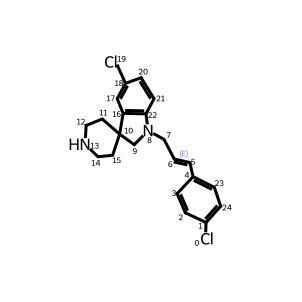 Clc1ccc(/C=C/CN2CC3(CCNCC3)c3cc(Cl)ccc32)cc1